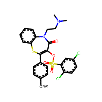 COc1ccc(C2=C(OS(=O)(=O)c3cc(Cl)ccc3Cl)C(=O)N(CCN(C)C)c3ccccc3S2)cc1